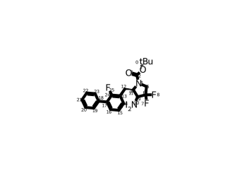 CC(C)(C)OC(=O)N1CC(F)(F)C(N)[C@H]1Cc1cccc(-c2ccccc2)c1F